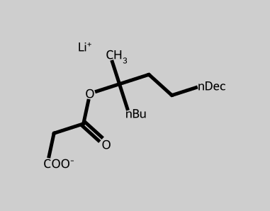 CCCCCCCCCCCCC(C)(CCCC)OC(=O)CC(=O)[O-].[Li+]